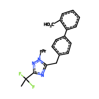 CCCn1nc(C(C)(F)F)nc1Cc1ccc(-c2ccccc2C(=O)O)cc1